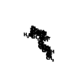 Cc1ccc(Nc2ncc3c(n2)N(C)C(=O)N(c2cc(C(=O)N[C@H](C(=O)N4CCC[C@H]4C(=O)N[C@@H](Cc4ccccc4)C(=O)NCC(=O)N(C)C)C(C)C)ccc2C)C3)cn1